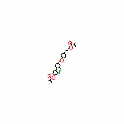 C=C(C)C(=O)OCCCc1ccc(OCC2CCC(c3ccc(OC(=O)C(=C)C)cc3F)C(C)C2)cc1